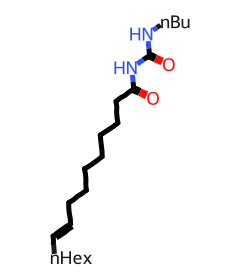 CCCCCCC=CCCCCCCCC(=O)NC(=O)NCCCC